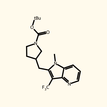 Cn1c(CC2CCN(C(=O)OC(C)(C)C)C2)c(C(F)(F)F)c2ncccc21